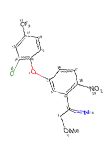 COCC(=[N])c1cc(Oc2ccc(C(F)(F)F)cc2Cl)ccc1[N+](=O)[O-]